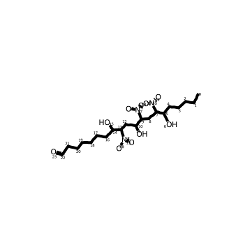 CCCCCC(O)C(CC(C(O)CC(C(O)CCCCCC[C]=O)[N+](=O)[O-])[N+](=O)[O-])[N+](=O)[O-]